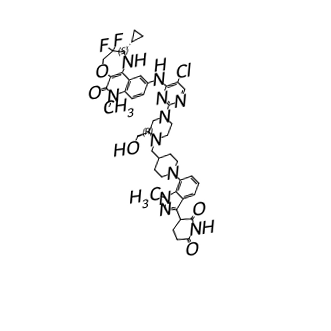 Cn1nc(C2CCC(=O)NC2=O)c2cccc(N3CCC(CN4CCN(c5ncc(Cl)c(Nc6ccc7c(c6)c6c(c(=O)n7C)OCC(F)(F)[C@H](C7CC7)N6)n5)C[C@@H]4CO)CC3)c21